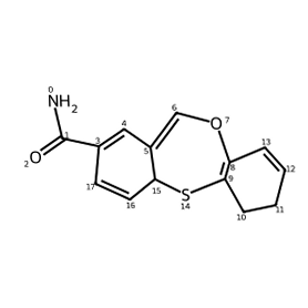 NC(=O)C1=CC2=COC3=C(CCC=C3)SC2C=C1